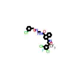 O=C(NC/C=N/OCc1cccc(Cl)c1)c1ccc(C2=NOC(c3cc(Cl)c(F)c(Cl)c3)(C(F)(F)F)C2)c2ccccc12